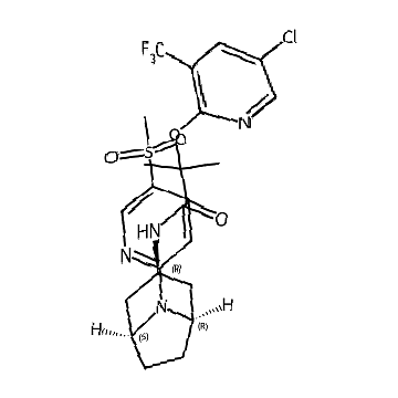 CC(C)(Oc1ncc(Cl)cc1C(F)(F)F)C(=O)N[C@H]1C[C@H]2CC[C@@H](C1)N2c1ccc(S(C)(=O)=O)cn1